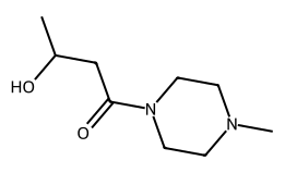 CC(O)CC(=O)N1CCN(C)CC1